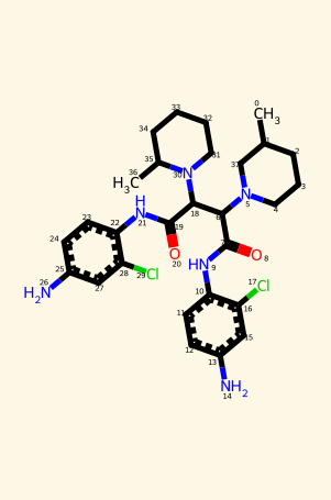 CC1CCCN(C(C(=O)Nc2ccc(N)cc2Cl)C(C(=O)Nc2ccc(N)cc2Cl)N2CCCCC2C)C1